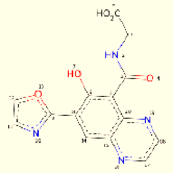 O=C(O)CNC(=O)c1c(O)c(-c2ncco2)cc2nccnc12